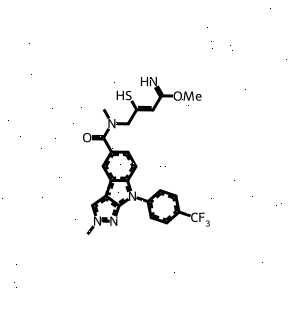 COC(=N)/C=C(\S)CN(C)C(=O)c1ccc2c(c1)c1cn(C)nc1n2-c1ccc(C(F)(F)F)cc1